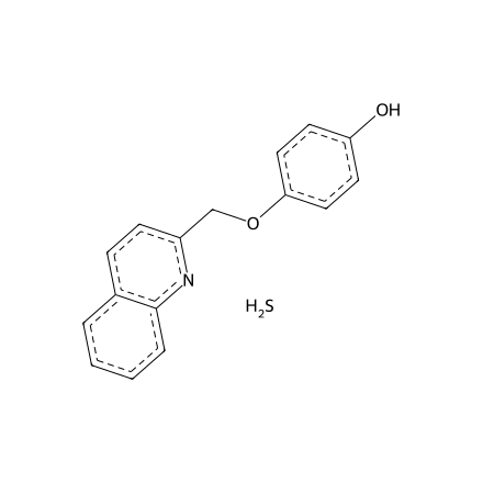 Oc1ccc(OCc2ccc3ccccc3n2)cc1.S